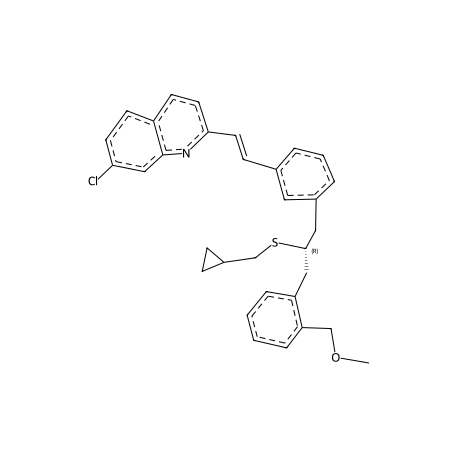 COCc1ccccc1C[C@@H](Cc1cccc(C=Cc2ccc3ccc(Cl)cc3n2)c1)SCC1CC1